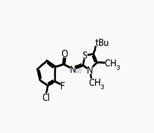 Cc1c(C(C)(C)C)s/c(=N\C(=O)c2cccc(Cl)c2F)n1C